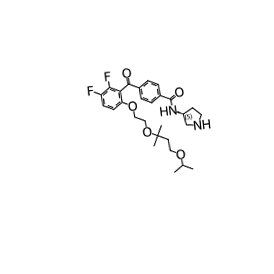 CC(C)OCCC(C)(C)OCCOc1ccc(F)c(F)c1C(=O)c1ccc(C(=O)N[C@H]2CCNC2)cc1